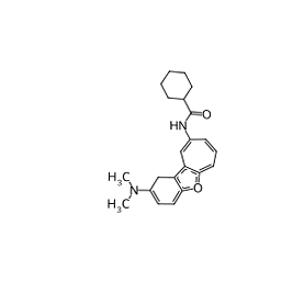 CN(C)C1=CC=c2oc3c(c2C1)C=C(NC(=O)C1CCCCC1)C=CC=3